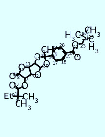 CCC(C)(C)C(=O)OC1C(=O)OC2C3OC(C)(c4ccc(C(=O)OC[Si](C)(C)C)cc4)OC3OC12